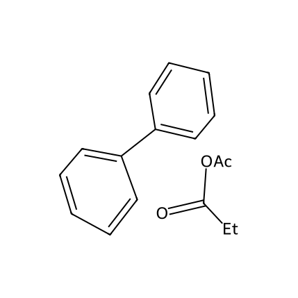 CCC(=O)OC(C)=O.c1ccc(-c2ccccc2)cc1